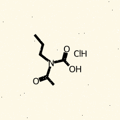 CCCN(C(C)=O)C(=O)O.Cl